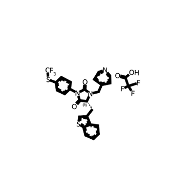 O=C(O)C(F)(F)F.O=C1[C@@H](Cc2csc3ccccc23)N(Cc2ccncc2)C(=O)N1c1ccc(SC(F)(F)F)cc1